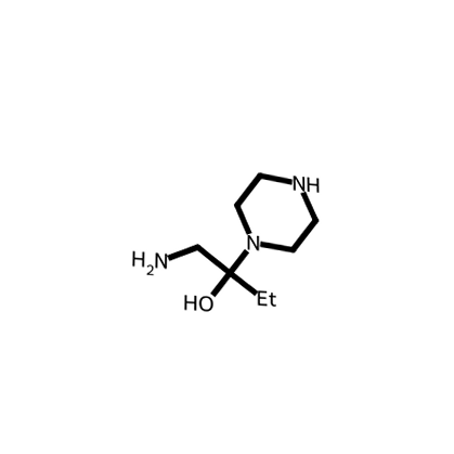 CCC(O)(CN)N1CCNCC1